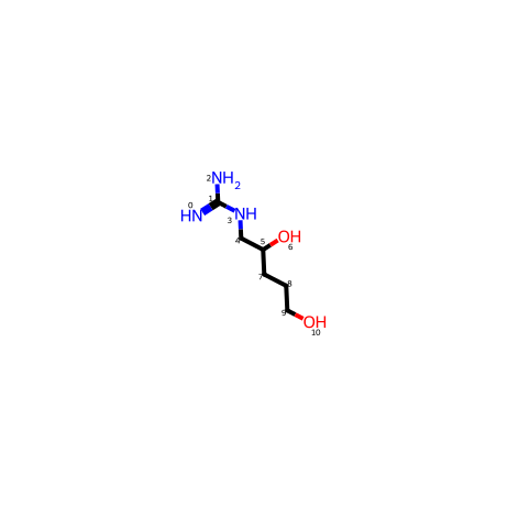 N=C(N)NCC(O)CCCO